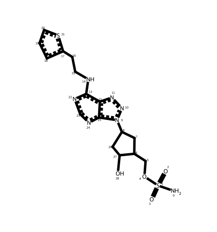 NS(=O)(=O)OCC1CC(n2nnc3c(NCCc4cccs4)ncnc32)CC1O